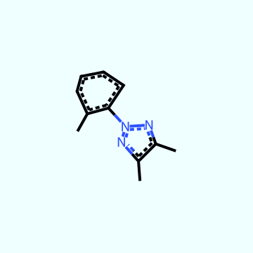 Cc1ccccc1-n1nc(C)c(C)n1